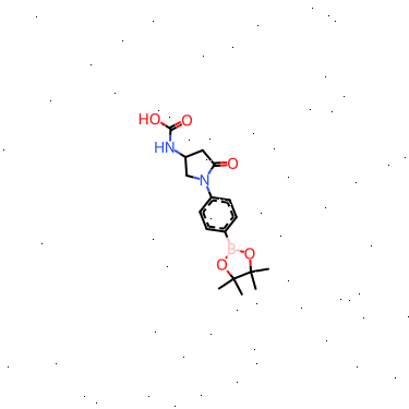 CC1(C)OB(c2ccc(N3CC(NC(=O)O)CC3=O)cc2)OC1(C)C